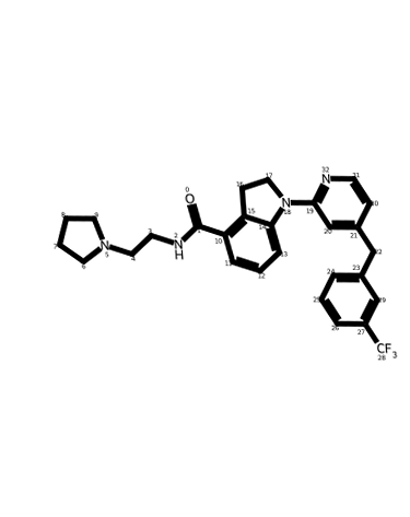 O=C(NCCN1CCCC1)c1cccc2c1CCN2c1cc(Cc2cccc(C(F)(F)F)c2)ccn1